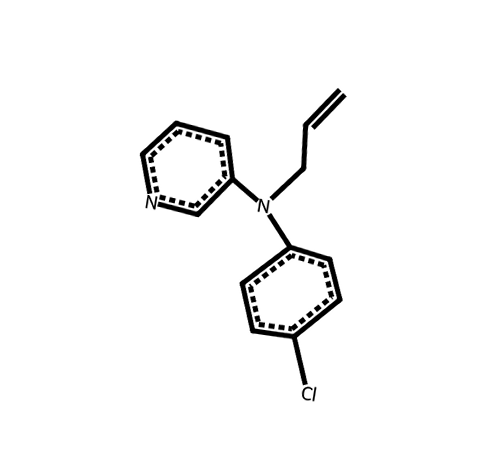 C=CCN(c1ccc(Cl)cc1)c1cccnc1